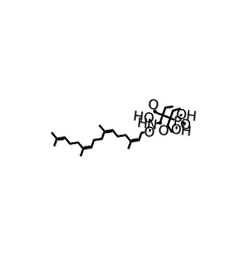 CCC(C(=O)O)(C(=O)NOCC=C(C)CCC=C(C)CCC=C(C)CCC=C(C)C)C(CC)(CC)P(=O)(O)O